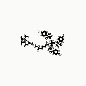 CC(C)N(C(C)C)P(OCOCOCSC(=O)CCCCCNC(COC(C)S(=O)(=O)c1ccc(Br)cc1)(COC(C)S(=O)(=O)c1ccc(Br)cc1)COC(C)S(=O)(=O)c1ccc(Br)cc1)N(C(C)C)C(C)C